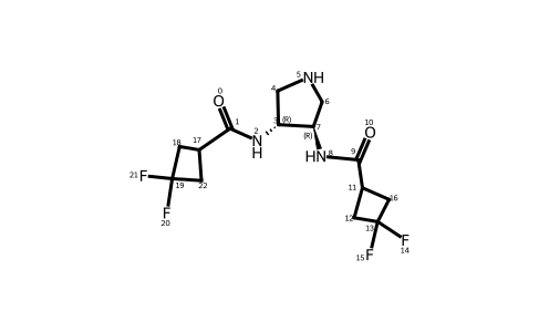 O=C(N[C@@H]1CNC[C@H]1NC(=O)C1CC(F)(F)C1)C1CC(F)(F)C1